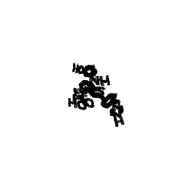 O=C(O)C(F)(F)F.Oc1cccc(Nc2ccnc3cc(-c4ccc(CN5CCNCC5)cc4)sc23)c1